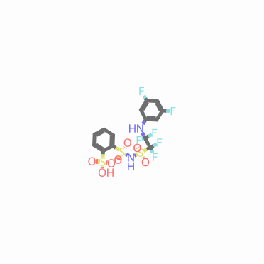 O=S(=O)(O)c1ccccc1S(=O)(=O)NS(=O)(=O)C(F)(F)C(F)(F)Nc1cc(F)cc(F)c1